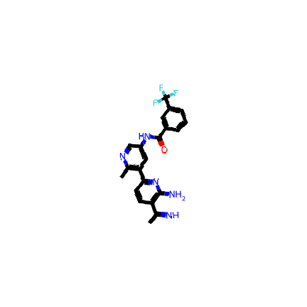 CC(=N)c1ccc(-c2cc(NC(=O)c3cccc(C(F)(F)F)c3)cnc2C)nc1N